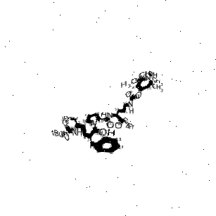 CC(C)C[C@@H](/C=C/[C@H](Cc1ccccc1)C(O)N1CCC[C@H]1C(=O)N[C@@H](CCCNC(=O)OC1CC(C)(C)N(O)C(C)(C)C1)C(=O)OC(C)C)NC(=O)OC(C)(C)C